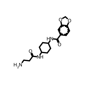 NCCC(=O)NC1CCC(NC(=O)c2ccc3c(c2)OCO3)CC1